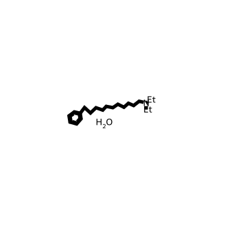 CCN(CC)CCCCCCCCCCCc1ccccc1.O